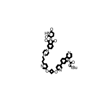 CC(C)(C)OC(=O)n1c2ccncc2c2ccc(-c3ccc(O[C@H]4C[C@H](Oc5ccc(CCCN6CCN(c7ccc8c(c7)C(=O)N(C7CCC(=O)NC7=O)C8=O)CC6)nc5)C4)nc3)cc21